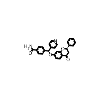 NC(=O)c1ccc([C@H](Oc2ccc3c(c2)O[C@@H](c2ccccc2)CC3=O)c2ccncc2)cc1